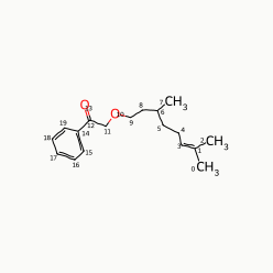 CC(C)=CCCC(C)CCOCC(=O)c1ccccc1